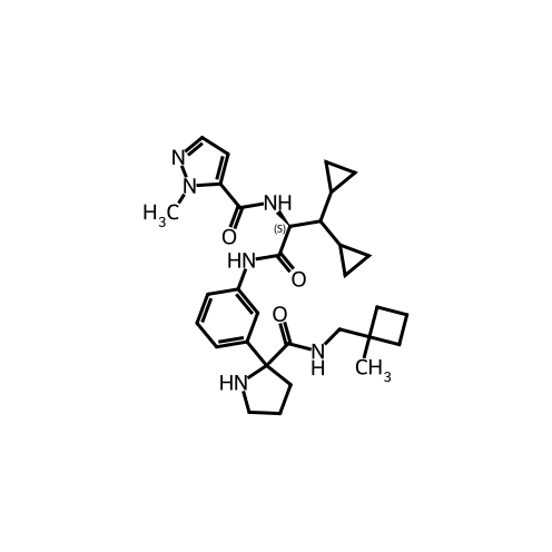 Cn1nccc1C(=O)N[C@H](C(=O)Nc1cccc(C2(C(=O)NCC3(C)CCC3)CCCN2)c1)C(C1CC1)C1CC1